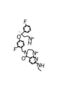 CCNc1ccc2c(n1)N(C)CCN(Cc1ccc(O[C@](C)(CCNC)c3cccc(F)c3)cc1F)C2=O